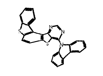 c1ccc2c(c1)sc1ccc3sc4c(-n5c6ccccc6c6ccccc65)ncnc4c3c12